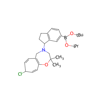 CC(C)OB(OC(C)(C)C)c1ccc2c(c1)C(N1CC3=C(C=CC(Cl)C=C3)OC(C)(C)C1)CC2